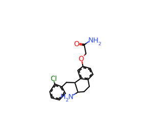 NC(=O)COc1ccc2c(c1)C(Cc1ccccc1Cl)C(N)CC2